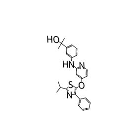 CC(C)c1nc(-c2ccccc2)c(Oc2ccnc(Nc3cccc(C(C)(C)O)c3)c2)s1